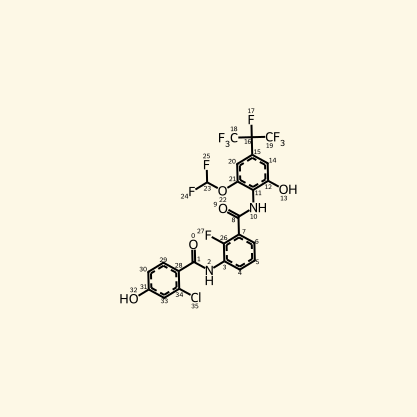 O=C(Nc1cccc(C(=O)Nc2c(O)cc(C(F)(C(F)(F)F)C(F)(F)F)cc2OC(F)F)c1F)c1ccc(O)cc1Cl